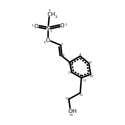 CS(=O)(=O)OC=Cc1cccc(CCO)c1